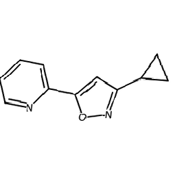 c1ccc(-c2cc(C3CC3)no2)nc1